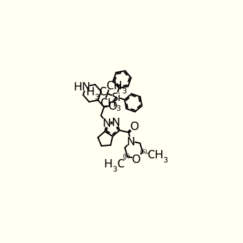 C[C@@H]1CN(C(=O)c2nn(CC(O[Si](c3ccccc3)(c3ccccc3)C(C)(C)C)C3CCNCC3)c3c2CCC3)C[C@H](C)O1